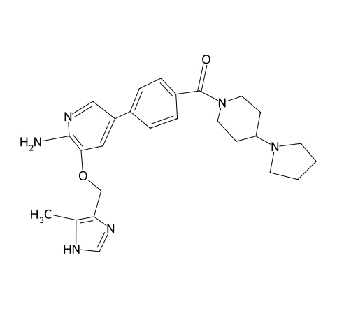 Cc1[nH]cnc1COc1cc(-c2ccc(C(=O)N3CCC(N4CCCC4)CC3)cc2)cnc1N